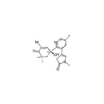 CN1C=C(c2cc(F)cnc2[C@@]2(O)C=C(C#N)C(=O)C(C)(C)C2)CC1=O